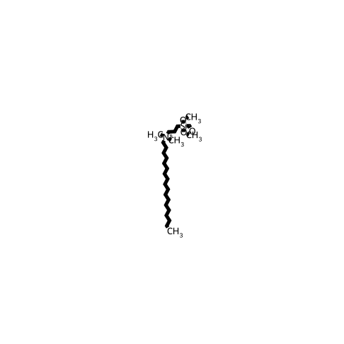 CCCCCCCCCCCCCCCCCC[N+](C)(C)CCC[Si](C=O)(OC)OC